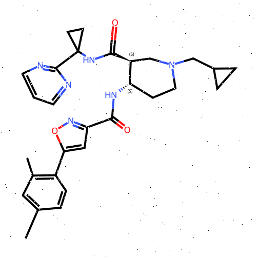 Cc1ccc(-c2cc(C(=O)N[C@H]3CCN(CC4CC4)C[C@@H]3C(=O)NC3(c4ncccn4)CC3)no2)c(C)c1